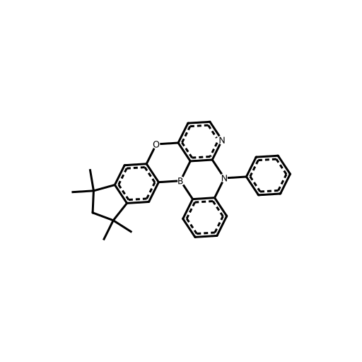 CC1(C)CC(C)(C)c2cc3c(cc21)Oc1ccnc2c1B3c1ccccc1N2c1ccccc1